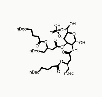 CCCCCCCCCCCCCC(=O)O[C@H](CCCCCCCCCCC)CC(=O)N[C@H]1[C@@H](OC(=O)C[C@@H](CCCCCCCCCCC)OC(=O)CCCCCCCCCCCCC)[C@H](OP(=O)(O)O)[C@@H](CO)O[C@@H]1O